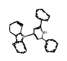 C1=Cc2c(c3ccccc3n2C2=CC(c3ccccc3)NC(c3ccccc3)=C2)CC1